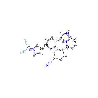 N#CC1CC=C(c2cccc3ncc(-c4ccc(-c5cnn(C(F)F)c5)cc4)n23)CC1